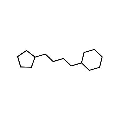 [CH](CCCC1CCCC1)C1CCCCC1